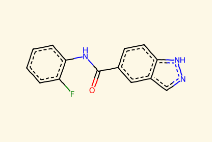 O=C(Nc1ccccc1F)c1ccc2[nH]ncc2c1